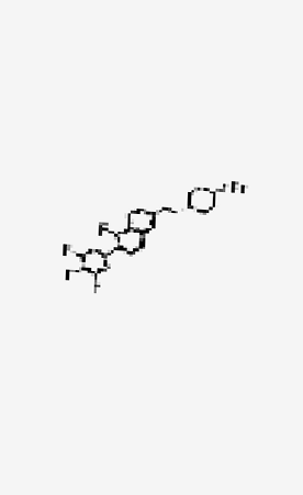 CCC[C@H]1CC[C@H](CCc2ccc3c(F)c(-c4cc(F)c(F)c(F)c4)ccc3c2)CC1